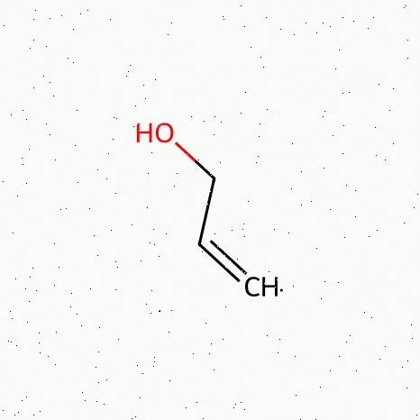 [CH]=CCO